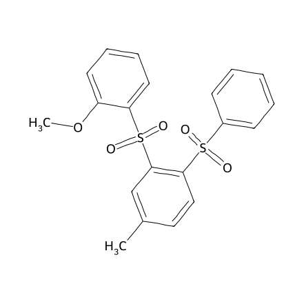 COc1ccccc1S(=O)(=O)c1cc(C)ccc1S(=O)(=O)c1ccccc1